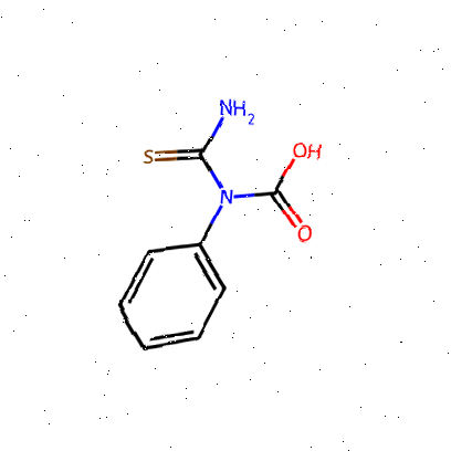 NC(=S)N(C(=O)O)c1ccccc1